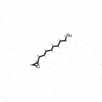 CCC(C)CCCCCCCCC1CO1